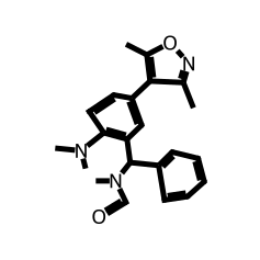 Cc1noc(C)c1-c1ccc(N(C)C)c(C(c2ccccc2)N(C)C=O)c1